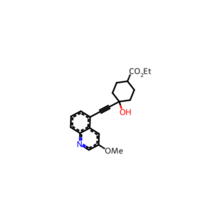 CCOC(=O)C1CCC(O)(C#Cc2cccc3ncc(OC)cc23)CC1